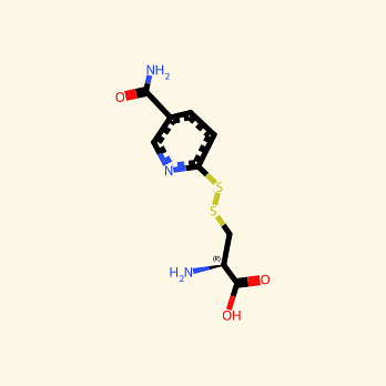 NC(=O)c1ccc(SSC[C@H](N)C(=O)O)nc1